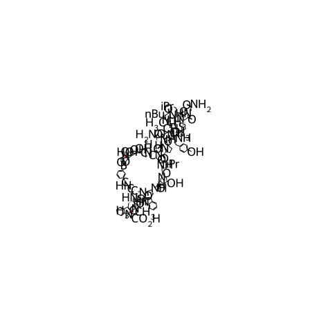 CCCC[C@@H](C(=O)N[C@@H](CC(C)C)C(=O)N[C@@H](CSCC(=O)N[C@@H](Cc1ccc(O)cc1)C(=O)N(C)[C@@H](C)C(=O)N[C@@H](CC(N)=O)C(=O)N1CCC[C@H]1C(=O)N[C@H]1CNC[C@@H](O)[C@@H](O)[C@H](O)[C@@H]2OB(OCC2O)c2cccc(c2)CNCC[C@@H](C(=O)N[C@@H](Cc2cn(CC(=O)O)c3ccccc23)C(=O)N(C)C)NC(=O)[C@H](Cc2c[nH]c3ccccc23)NC(=O)[C@@H]2C[C@@H](O)CN2C(=O)[C@H](CC(C)C)NC1=O)C(=O)NCC(N)=O)N(C)C